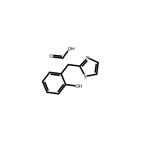 O=CO.Oc1ccccc1Cc1nccs1